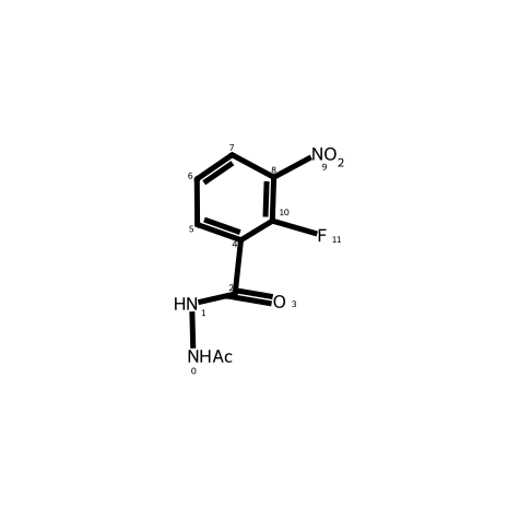 CC(=O)NNC(=O)c1cccc([N+](=O)[O-])c1F